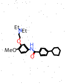 CCN(CC)CCOc1cc(NC(=O)c2ccc(C3CCCCC3)cc2)ccc1OC